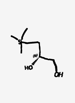 C[Si](C)(C)C[C@@H](O)CO